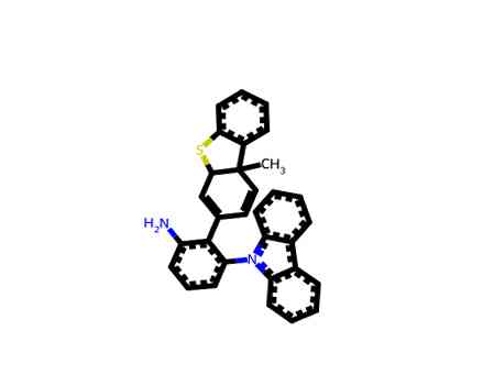 CC12C=CC(c3c(N)cccc3-n3c4ccccc4c4ccccc43)=CC1Sc1ccccc12